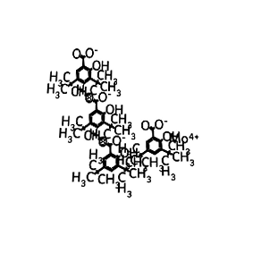 CC(C)(C)c1cc(C(=O)[O-])c(O)c(C(C)(C)C)c1.CC(C)(C)c1cc(C(=O)[O-])c(O)c(C(C)(C)C)c1.CC(C)(C)c1cc(C(=O)[O-])c(O)c(C(C)(C)C)c1.CC(C)(C)c1cc(C(=O)[O-])c(O)c(C(C)(C)C)c1.[Mo+4]